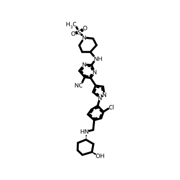 CS(=O)(=O)N1CCC(Nc2ncc(C#N)c(-c3cnn(-c4ccc(CN[C@H]5CCC[C@H](O)C5)cc4Cl)c3)n2)CC1